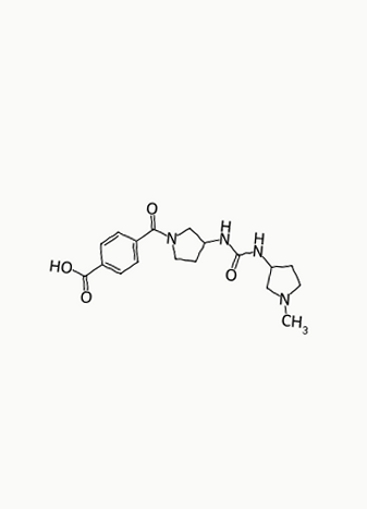 CN1CCC(NC(=O)NC2CCN(C(=O)c3ccc(C(=O)O)cc3)C2)C1